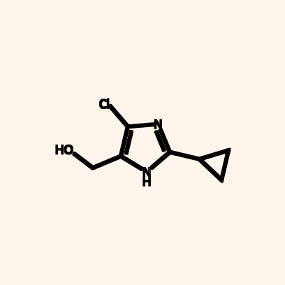 OCc1[nH]c(C2CC2)nc1Cl